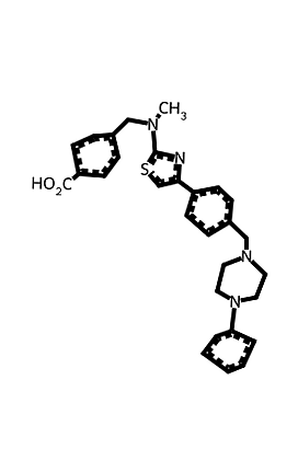 CN(Cc1ccc(C(=O)O)cc1)c1nc(-c2ccc(CN3CCN(c4ccccc4)CC3)cc2)cs1